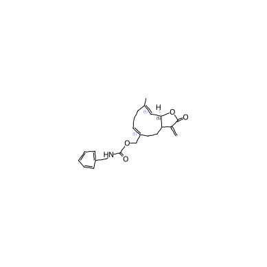 C=C1C(=O)O[C@@H]2/C=C(\C)CC/C=C(/COC(=O)NCc3ccccc3)CCC12